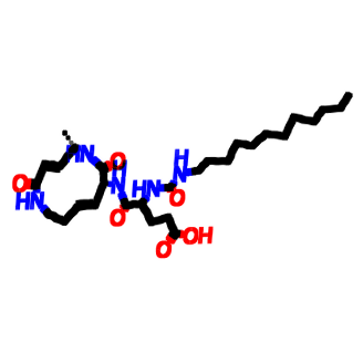 CCCCCCCCCCCCNC(=O)NC(CCC(=O)O)C(=O)N[C@H]1/C=C/CCNC(=O)/C=C/[C@H](C)NC1=O